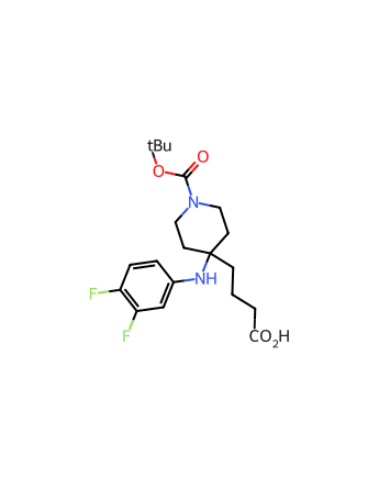 CC(C)(C)OC(=O)N1CCC(CCCC(=O)O)(Nc2ccc(F)c(F)c2)CC1